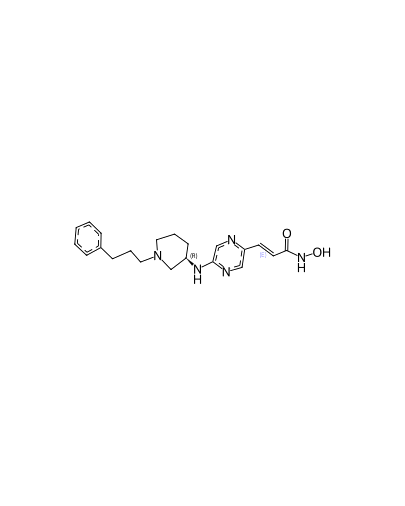 O=C(/C=C/c1cnc(N[C@@H]2CCCN(CCCc3ccccc3)C2)cn1)NO